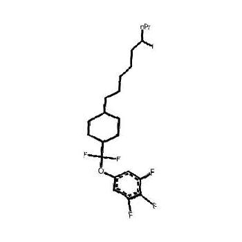 CCCC(I)CCCCCC1CCC(C(F)(F)Oc2cc(F)c(F)c(F)c2)CC1